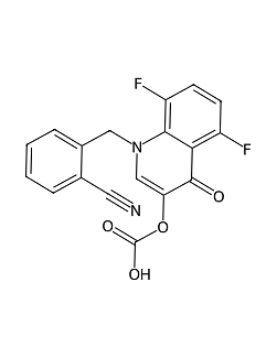 N#Cc1ccccc1Cn1cc(OC(=O)O)c(=O)c2c(F)ccc(F)c21